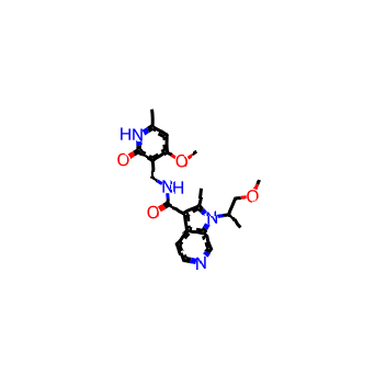 COCC(C)n1c(C)c(C(=O)NCc2c(OC)cc(C)[nH]c2=O)c2ccncc21